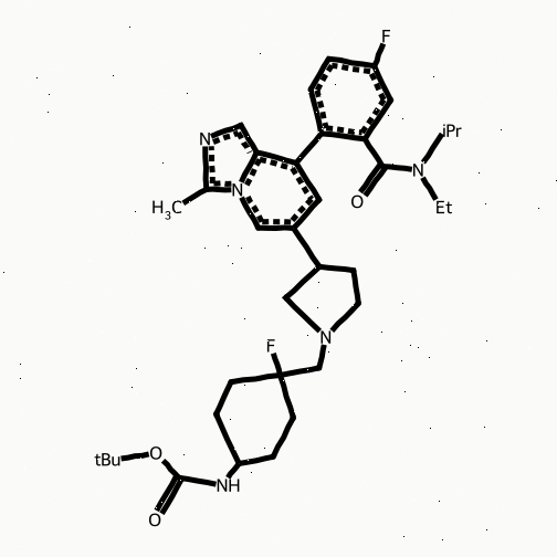 CCN(C(=O)c1cc(F)ccc1-c1cc(C2CCN(CC3(F)CCC(NC(=O)OC(C)(C)C)CC3)C2)cn2c(C)ncc12)C(C)C